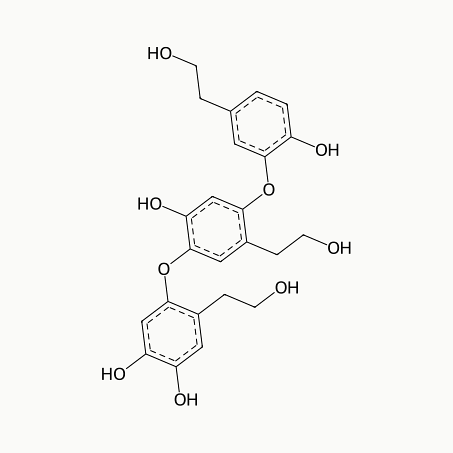 OCCc1ccc(O)c(Oc2cc(O)c(Oc3cc(O)c(O)cc3CCO)cc2CCO)c1